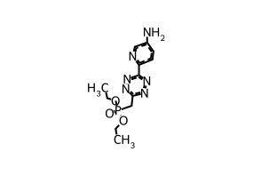 CCOP(=O)(Cc1nnc(-c2ccc(N)cn2)nn1)OCC